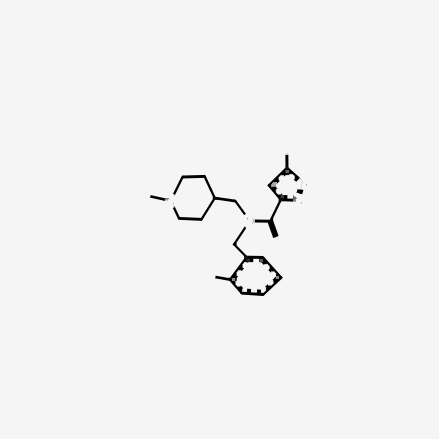 Cc1cc(C(=O)N(Cc2ccccc2F)CC2CCN(C)CC2)[nH]n1